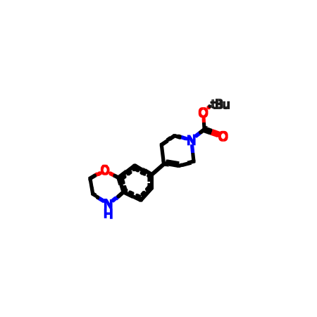 CC(C)(C)OC(=O)N1CC=C(c2ccc3c(c2)OCCN3)CC1